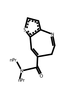 CCCN(CCC)C(=O)C1=Cc2sccc2N=CC1